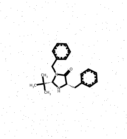 CC(C)(C)[C@H]1N[C@@H](Cc2ccccc2)C(=O)N1Cc1ccccc1